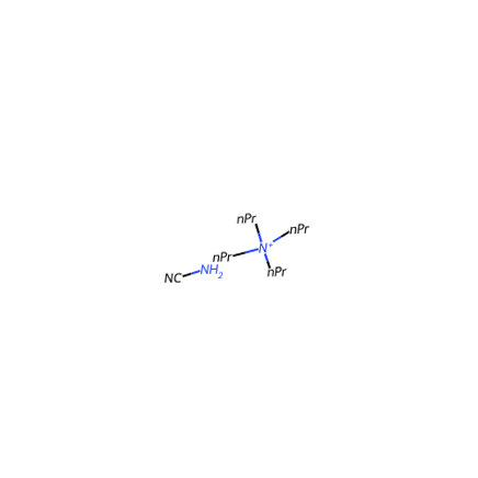 CCC[N+](CCC)(CCC)CCC.N#CN